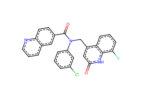 O=C(c1ccc2ncccc2c1)N(Cc1cc(=O)[nH]c2c(F)cccc12)c1cccc(Cl)c1